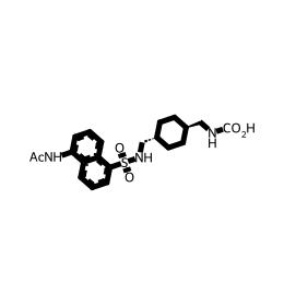 CC(=O)Nc1cccc2c(S(=O)(=O)NC[C@H]3CC[C@H](CNC(=O)O)CC3)cccc12